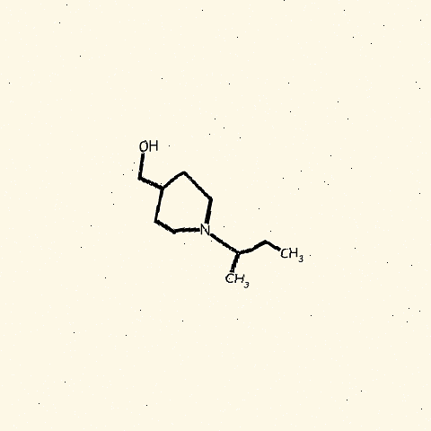 CCC(C)N1CCC(CO)CC1